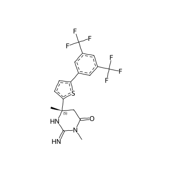 CN1C(=N)N[C@](C)(c2ccc(-c3cc(C(F)(F)F)cc(C(F)(F)F)c3)s2)CC1=O